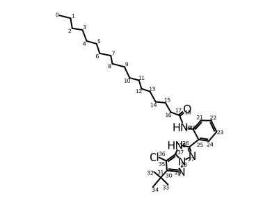 CCCCCCCCCCCCCCCCCC(=O)Nc1ccccc1-c1nn2nc(C(C)(C)C)c(Cl)c2[nH]1